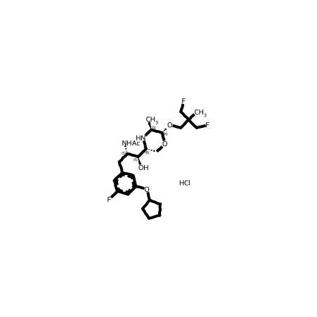 CC(=O)N[C@@H](Cc1cc(F)cc(OC2CCCC2)c1)[C@H](O)[C@H]1CO[C@@H](OCC(C)(CF)CF)[C@H](C)N1.Cl